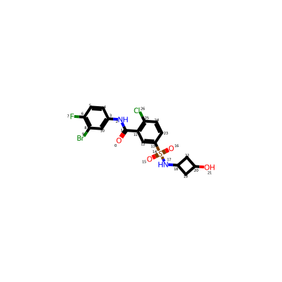 O=C(Nc1ccc(F)c(Br)c1)c1cc(S(=O)(=O)NC2CC(O)C2)ccc1Cl